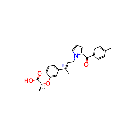 C/C(=C\Cn1cccc1C(=O)c1ccc(C)cc1)c1cccc(O[C@@H](C)C(=O)O)c1